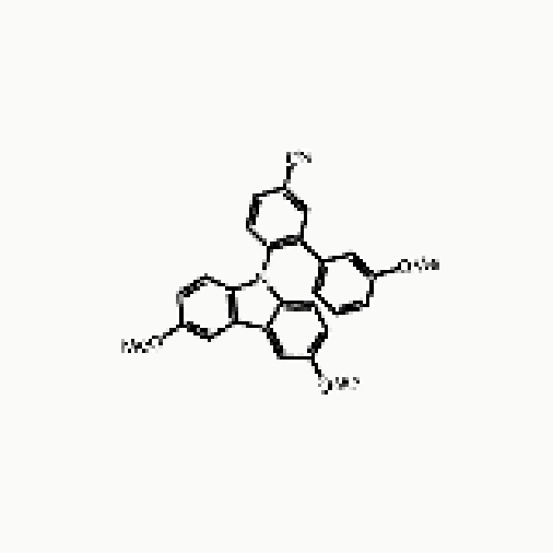 COc1cccc(-c2cc(C#N)ccc2-n2c3ccc(OC)cc3c3cc(OC)ccc32)c1